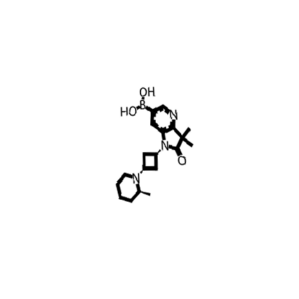 C[C@H]1CCCCN1[C@H]1C[C@@H](N2C(=O)C(C)(C)c3ncc(B(O)O)cc32)C1